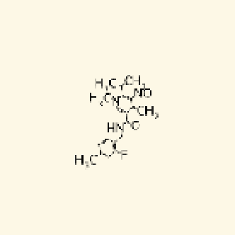 C=C(C)C1=C(N=O)C(=C)C(C(=O)NCc2ccc(C)cc2F)=CN1C